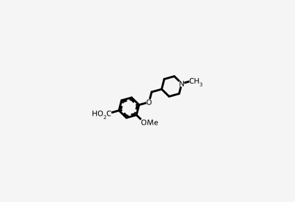 COc1cc(C(=O)O)ccc1OCC1CCN(C)CC1